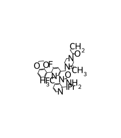 C=CC(=O)N1CCN(Cc2cc(F)c(-c3c(F)ccc4c3OCCO4)nc2N(C(N)=O)c2c(C)ccnc2C(C)C)[C@@H](C)C1